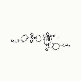 COc1ccc(S(=O)(=O)N2CCC(C(C=O)(CN3Cc4cc(OC)ccc4C3=O)NC(N)=O)CC2)cc1